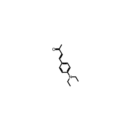 CCN(CC)c1ccc(/C=C/C(C)=O)cc1